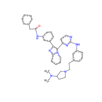 CN(C)C1CCN(CCc2cccc(Nc3nccc(-c4c(-c5cccc(NC(=O)Cc6ccccc6)c5)nc5ccccn45)n3)c2)C1